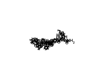 CCCC(=O)NC(C(=O)N[C@@H](CCCNC(N)=O)C(=O)Nc1ccc(S(=O)(=O)NC(=O)[C@H](Cc2ccccc2)NC(=O)[C@H](C)[C@@H](OC)[C@@H]2CCCN2C(=O)C[C@@H](OC)C([C@@H](C)CC)N(C)C(=O)[C@@H](NC(=O)C(C(C)C)N(C)C)C(C)C)cc1)C(C)C